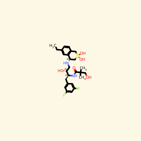 CCc1ccc2c(c1)[C@@H](NC[C@@H](O)[C@H](Cc1cc(F)cc(F)c1)NC(=O)C(C)(C)CO)CS(O)(O)C2